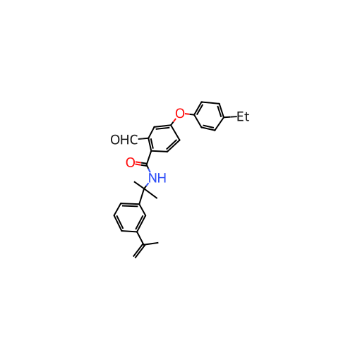 C=C(C)c1cccc(C(C)(C)NC(=O)c2ccc(Oc3ccc(CC)cc3)cc2C=O)c1